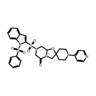 O=C1CN(S(=O)(=O)c2cc3ccccc3n2S(=O)(=O)c2ccccc2)CC2OC3(CCN(c4ccncc4)CC3)CN12